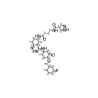 O=C(CCCNC(=O)c1cn[nH]c1)Nc1ccc2ncnc(Nc3ccc(OCc4cccc(F)c4)c(Cl)c3)c2c1